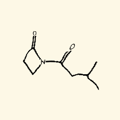 CC(C)CC(=O)N1CCC1=O